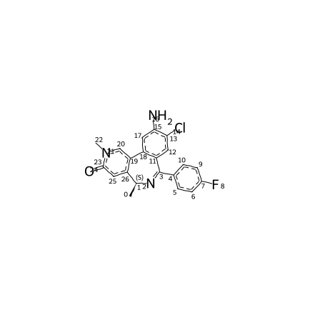 C[C@@H]1N=C(c2ccc(F)cc2)c2cc(Cl)c(N)cc2-c2cn(C)c(=O)cc21